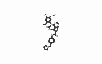 COc1cc(N2C(=O)Nc3c(C(=O)Nc4ccc(CN5CCCC5)cc4)sc4ncnc2c34)c(CI)cc1Cl